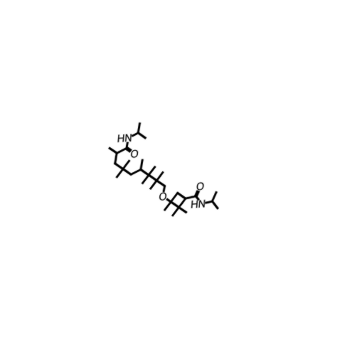 CC(C)NC(=O)C(C)CC(C)(C)CC(C)C(C)(C)C(C)(C)COC1(C)CC(C(=O)NC(C)C)C1(C)C